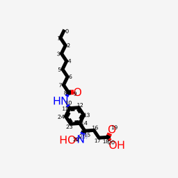 CCCCCCCCC(=O)Nc1ccc(/C(CCC(=O)O)=N\O)cc1